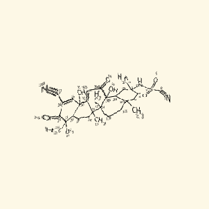 CC1(NS(=O)(=O)C#N)CCC2(C)CCC3(C)C4(C)CCC5C(C)(C)C(=O)C(C#N)=CC5(C)C4=CC(=O)C3(O)C2C1